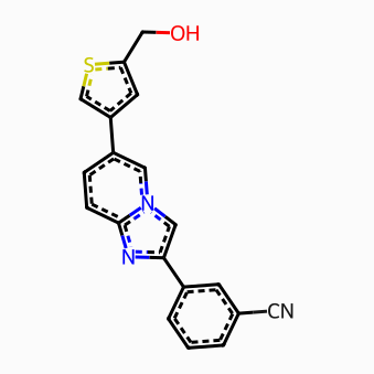 N#Cc1cccc(-c2cn3cc(-c4csc(CO)c4)ccc3n2)c1